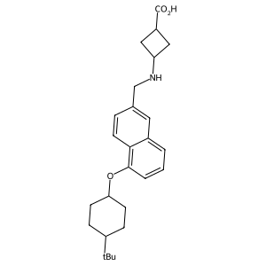 CC(C)(C)C1CCC(Oc2cccc3cc(CNC4CC(C(=O)O)C4)ccc23)CC1